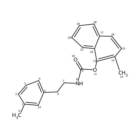 Cc1cccc(CCNC(=O)Oc2c(C)ccc3ccccc23)c1